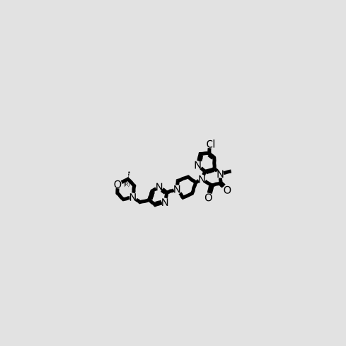 C[C@@H]1CN(Cc2cnc(N3CCC(n4c(=O)c(=O)n(C)c5cc(Cl)cnc54)CC3)nc2)CCO1